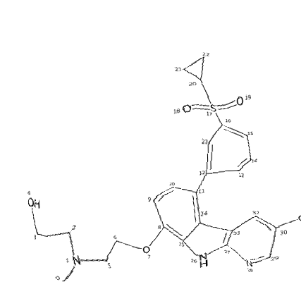 CN(CCO)CCOc1ccc(-c2cccc(S(=O)(=O)C3CC3)c2)c2c1[nH]c1ncc(Cl)cc12